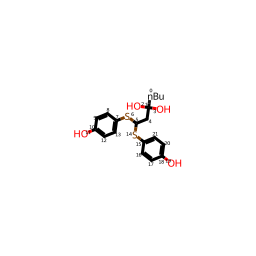 CCCCC(O)(O)CC(Sc1ccc(O)cc1)Sc1ccc(O)cc1